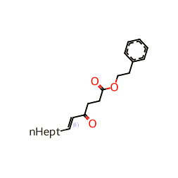 CCCCCCC/C=C/C(=O)CCC(=O)OCCc1ccccc1